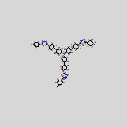 Cc1ccc(-c2nnc(-c3ccc(-c4ccc(N(c5ccc(-c6ccc(-c7nnc(-c8ccc(C)cc8)o7)cc6)cc5)c5ccc(-c6ccc(-c7nnc(-c8ccc(C)cc8)o7)cc6)cc5)cc4)cc3)o2)cc1